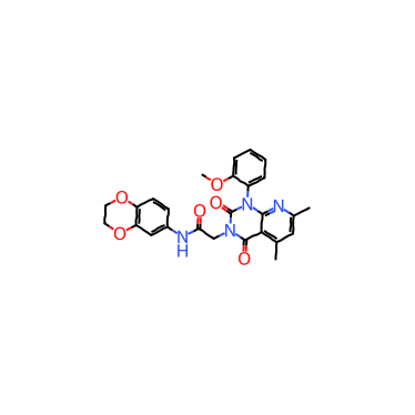 COc1ccccc1-n1c(=O)n(CC(=O)Nc2ccc3c(c2)OCCO3)c(=O)c2c(C)cc(C)nc21